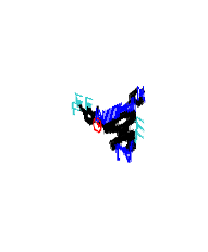 C[C@@H](NC(=O)c1cc(-c2ccncc2F)c(F)cc1NC1CCN(C)CC1)c1cccc(C(F)F)c1F